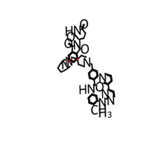 Cc1ccc(NC(=O)c2ccc(CN3CCC(CN4CC5CCC(C4)N5c4ccc5c(c4)C(=O)N(C4CCC(=O)NC4=O)C5=O)CC3)cc2)cc1Nc1nccc(-c2cccnc2)n1